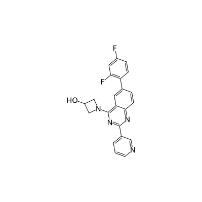 OC1CN(c2nc(-c3cccnc3)nc3ccc(-c4ccc(F)cc4F)cc23)C1